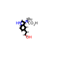 CC(C)(C)N(C(=O)O)c1c[nH]c2ccc(CCO)cc12